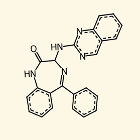 O=C1Nc2ccccc2C(c2ccccc2)=NC1Nc1ncc2ccccc2n1